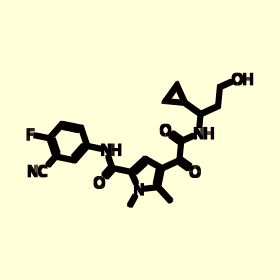 Cc1c(C(=O)C(=O)NC(CCO)C2CC2)cc(C(=O)Nc2ccc(F)c(C#N)c2)n1C